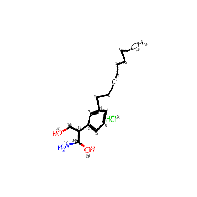 CCCCCCCCc1cccc(C(CO)C(N)O)c1.Cl